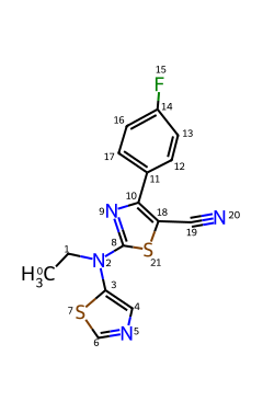 CCN(c1cncs1)c1nc(-c2ccc(F)cc2)c(C#N)s1